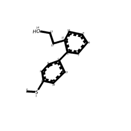 CSc1ccc(-c2ccccc2CCO)cc1